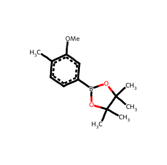 COc1cc(B2OC(C)(C)C(C)(C)O2)ccc1C